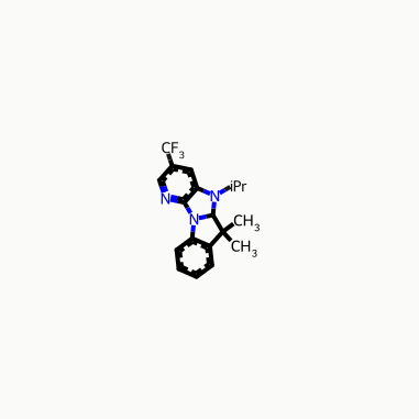 CC(C)N1c2cc(C(F)(F)F)cnc2N2c3ccccc3C(C)(C)C21